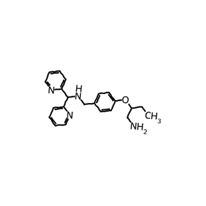 CCC(CN)Oc1ccc(CNC(c2ccccn2)c2ccccn2)cc1